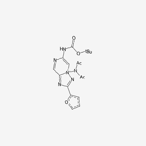 CC(=O)N(C(C)=O)[N+]12C=C(NC(=O)OC(C)(C)C)N=CC1=NC(c1ccco1)=N2